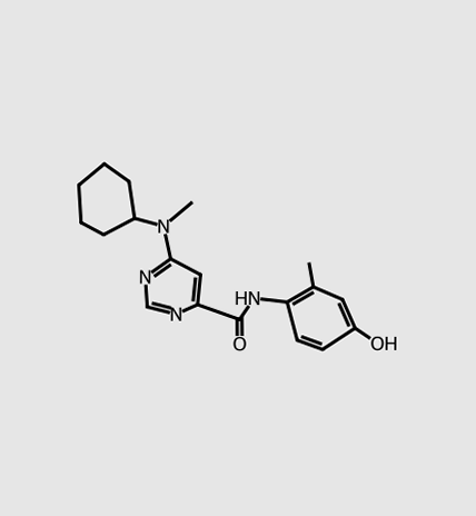 Cc1cc(O)ccc1NC(=O)c1cc(N(C)C2CCCCC2)ncn1